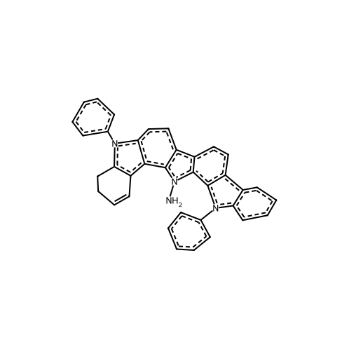 Nn1c2c(ccc3c2c2c(n3-c3ccccc3)CCC=C2)c2ccc3c4ccccc4n(-c4ccccc4)c3c21